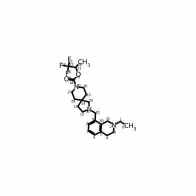 CCN1CCc2cccc(CN3CCC4(CCN(C(=O)OC(C)C(F)(F)F)CC4)C3)c2C1